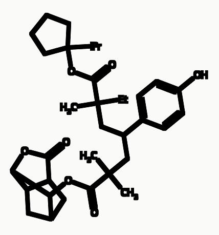 CCC(C)(CC(CC(C)(C)C(=O)OC1C2CC3C(=O)OC1C3C2)c1ccc(O)cc1)C(=O)OC1(C(C)C)CCCC1